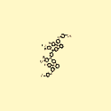 C=Cc1ccc(Oc2ccc(C3(c4ccc(F)cc4)c4ccccc4-c4ccc(N(c5ccc(N(c6ccc(C)c(F)c6)c6ccc7c(c6)C(c6ccc(F)cc6)(c6ccc(Oc8ccc(C=C)cc8)cc6)c6ccccc6-7)cc5)c5ccc(C)c(F)c5)cc43)cc2)cc1